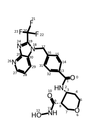 O=C(N[C@@H]1CCOC[C@@H]1C(=O)NO)c1ccc(Cn2c(C(F)(F)F)nc3ncccc32)cc1